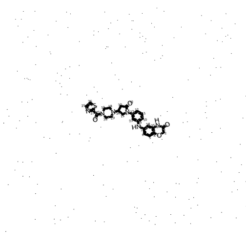 O=C1COc2ccc(Nc3cccc(N4CC(N5CCN(C(=O)c6nccs6)CC5)CC4=O)c3)cc2N1